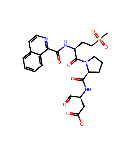 CS(=O)(=O)CC[C@H](NC(=O)c1nccc2ccccc12)C(=O)N1CCC[C@H]1C(=O)N[C@H](C=O)CC(=O)O